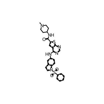 CN1CCC(NC(=O)c2cc3c(Nc4ccc5c(ccn5S(=O)(=O)c5ccccc5)c4)ncnc3s2)CC1